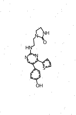 O=C1NCCN1CCNc1ncc(-c2ccc(O)cc2)c(-c2cccs2)n1